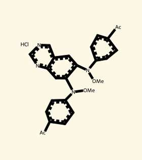 CON(c1ccc(C(C)=O)cc1)c1cc2cncnc2cc1N(OC)c1ccc(C(C)=O)cc1.Cl